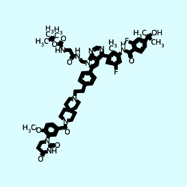 COc1ccc(C(=O)N2CCC3(CCN(CCc4ccc(-c5cc6c(-c7cc(F)cc(NC(=O)c8ccc(C(C)(C)O)cc8F)c7C)ncnc6n5CNC(=O)CNC(=O)OC(C)(C)C)cc4)CC3)CC2)cc1N1CCC(=O)NC1=O